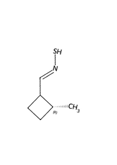 C[C@@H]1CCC1C=NS